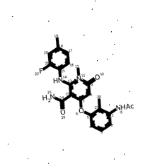 CC(=O)Nc1cccc(Oc2cc(=O)n(C)c(Nc3ccc(C)cc3F)c2C(N)=O)c1C